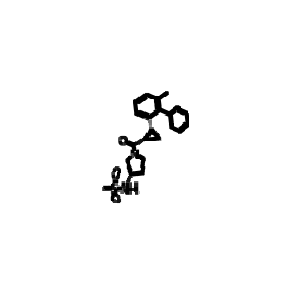 Cc1cccc([C@@H]2C[C@H]2C(=O)N2CC[C@@H](NS(C)(=O)=O)C2)c1-c1ccccc1